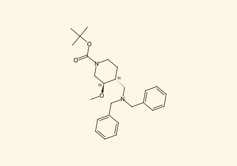 CO[C@H]1CN(C(=O)OC(C)(C)C)CC[C@@H]1CN(Cc1ccccc1)Cc1ccccc1